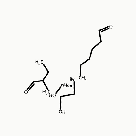 CC(C)CCO.CCC(C)C=O.CCCCCC=O.CCCCCCO